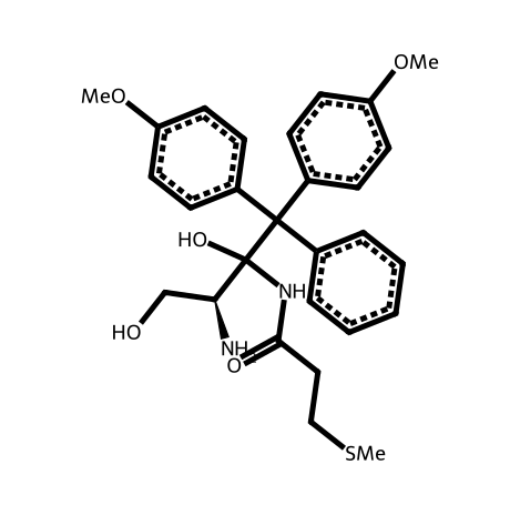 COc1ccc(C(c2ccccc2)(c2ccc(OC)cc2)C(O)(NC(=O)CCSC)[C@@H](N)CO)cc1